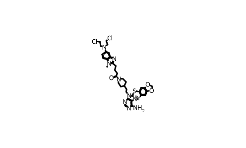 Cn1c(CCCC(=O)N2CCC(CCn3c(Sc4cc5c(cc4Br)OCO5)nc4c(N)ncnc43)CC2)nc2cc(N(CCCl)CCCl)ccc21